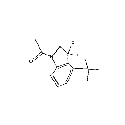 CC(=O)N1CC(F)(F)c2c1cccc2C(C)(C)C